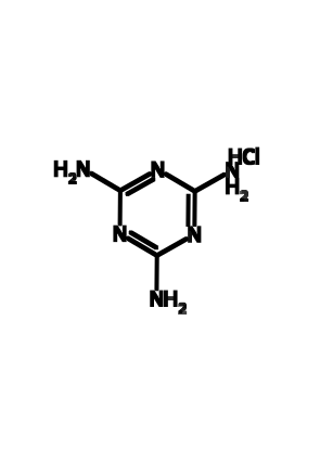 Cl.Nc1nc(N)nc(N)n1